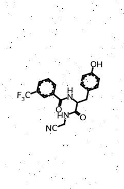 N#CCNC(=O)C(Cc1ccc(O)cc1)NC(=O)c1cccc(C(F)(F)F)c1